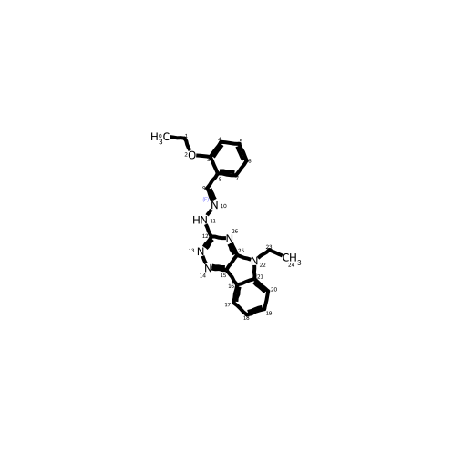 CCOc1ccccc1/C=N/Nc1nnc2c3ccccc3n(CC)c2n1